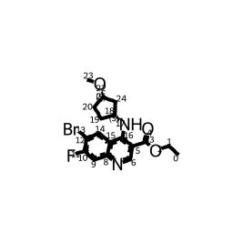 CCOC(=O)c1cnc2cc(F)c(Br)cc2c1N[C@H]1CC[C@H](OC)C1